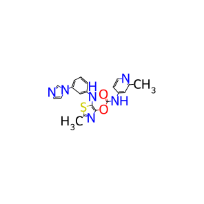 Cc1cc(NC(=O)Oc2nc(C)sc2Nc2cccc(-n3ccnc3)c2)ccn1